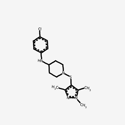 Cc1nn(C)c(C)c1SN1CCC(Nc2ccc(Cl)cc2)CC1